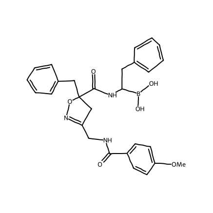 COc1ccc(C(=O)NCC2=NOC(Cc3ccccc3)(C(=O)NC(Cc3ccccc3)B(O)O)C2)cc1